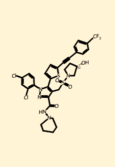 O=C(NN1CCCCC1)c1nn(-c2ccc(Cl)cc2Cl)c(-c2ccc(C#Cc3ccc(C(F)(F)F)cc3)s2)c1CS(=O)(=O)N1CC[C@H](O)C1